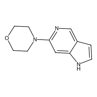 c1cc2cnc(N3CCOCC3)cc2[nH]1